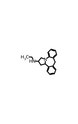 CCNC1CC2c3ccccc3Cc3ccccc3N2C1